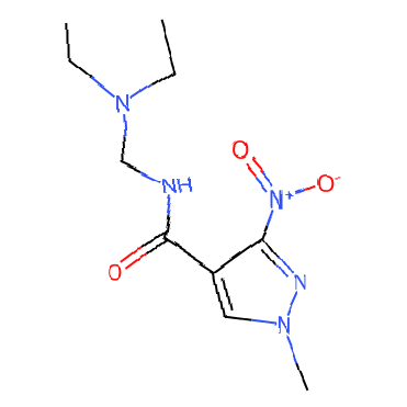 CCN(CC)CNC(=O)c1cn(C)nc1[N+](=O)[O-]